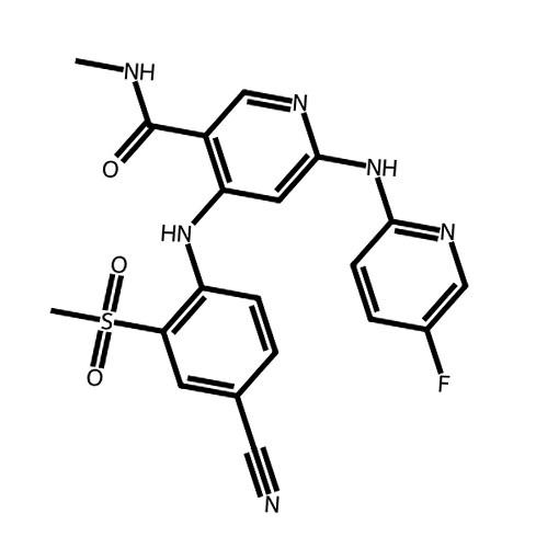 CNC(=O)c1cnc(Nc2ccc(F)cn2)cc1Nc1ccc(C#N)cc1S(C)(=O)=O